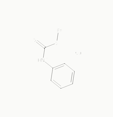 CCSC(=S)Nc1ccccc1.[Cu]